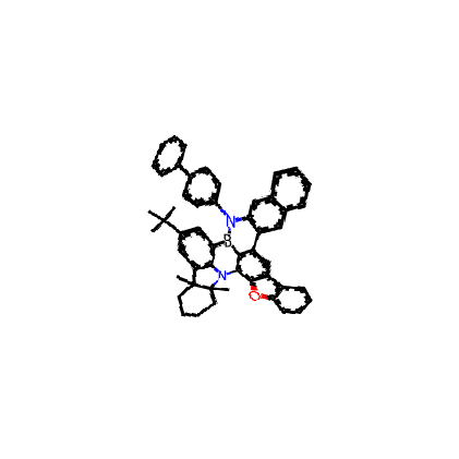 CC(C)(C)c1cc2c3c(c1)C1(C)CCCCC1(C)N3c1c3c(cc4c1oc1ccccc14)-c1cc4ccccc4cc1N(c1ccc(-c4ccccc4)cc1)B23